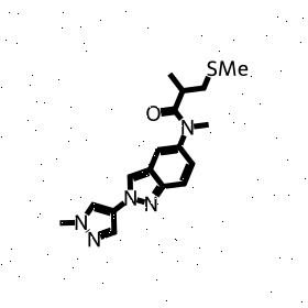 CSCC(C)C(=O)N(C)c1ccc2nn(-c3cnn(C)c3)cc2c1